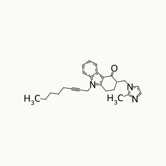 CCCCCC#CCn1c2c(c3ccccc31)C(=O)C(Cn1ccnc1C)CC2